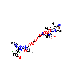 COc1cc(-c2scnc2C)ccc1[C@H](C)NC(=O)[C@@H]1C[C@@H](O)CN1C(=O)[C@@H](c1cc(OCCOCCOCCOCCOCCN(C)C(=O)CCNc2nc(N3CCN(C(C)=O)CC3)c3cc(Cl)c(-c4cc(O)cc5ccccc45)c(F)c3n2)no1)C(C)C